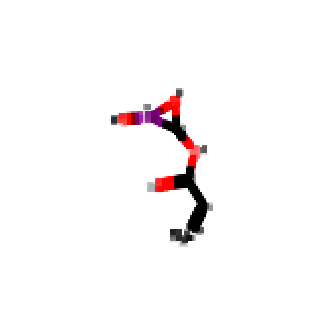 C=CC(=O)OC1O[PH]1=O